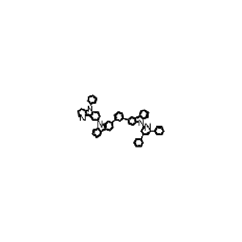 c1ccc(-c2cc(-c3ccccc3)nc(-n3c4ccccc4c4cc(-c5cccc(-c6ccc7c8ccccc8n(-c8ccc9c(c8)c8ncccc8n9-c8ccccc8)c7c6)c5)ccc43)c2)cc1